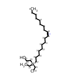 CCCCCCCC/C=C\CCCCCCCC[N+](CC)(CCl)CCO